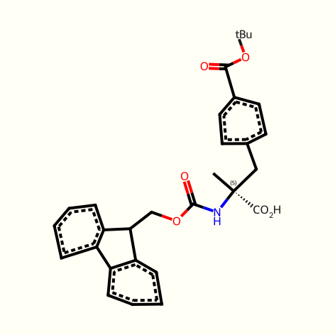 CC(C)(C)OC(=O)c1ccc(C[C@](C)(NC(=O)OCC2c3ccccc3-c3ccccc32)C(=O)O)cc1